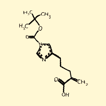 C=C(CCCc1cn(C(=O)OC(C)(C)C)cn1)C(=O)O